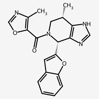 Cc1ncoc1C(=O)N1C[C@H](C)c2[nH]cnc2[C@@H]1c1cc2ccccc2o1